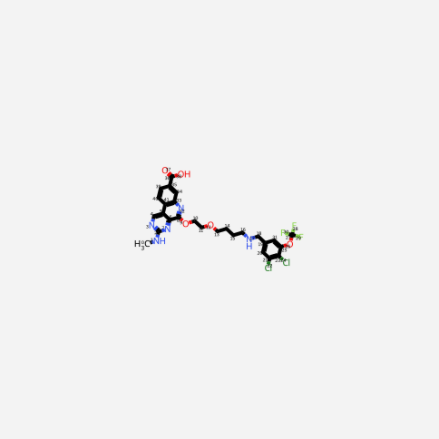 CNc1ncc2c(n1)c(OCCOCCCCNCc1cc(Cl)c(Cl)c(OC(F)(F)F)c1)nc1cc(C(=O)O)ccc12